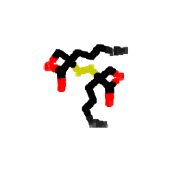 CCCCCCCCCCCCCC1(SSC2(CCCCCCCCCCCCC)COC2=O)COC1=O